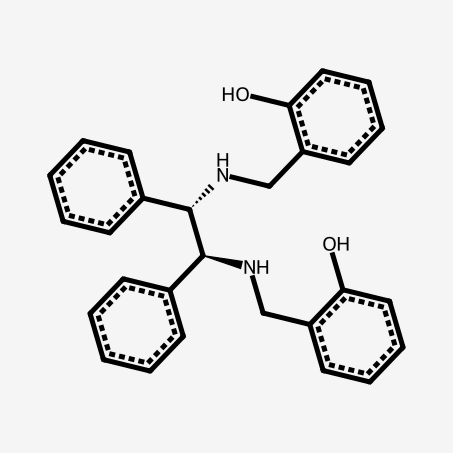 Oc1ccccc1CN[C@@H](c1ccccc1)[C@@H](NCc1ccccc1O)c1ccccc1